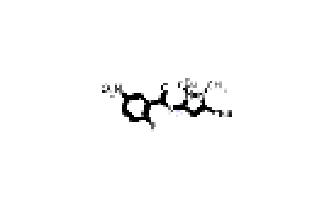 CCCCn1/c(=N\C(=O)c2cc([N+](=O)[O-])ccc2F)cc(C(C)(C)C)n1C